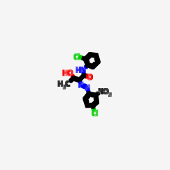 C/C(O)=C(\N=N\c1ccc(Cl)cc1[N+](=O)[O-])C(=O)Nc1ccccc1Cl